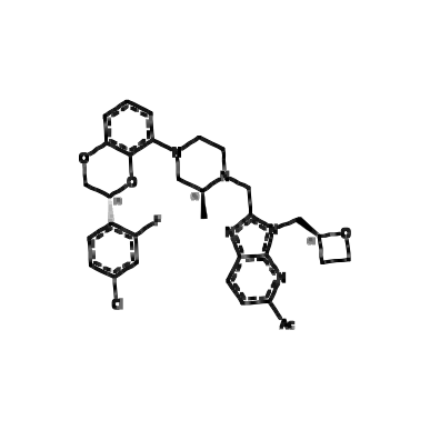 CC(=O)c1ccc2nc(CN3CCN(c4cccc5c4O[C@H](c4ccc(Cl)cc4F)CO5)C[C@@H]3C)n(C[C@@H]3CCO3)c2n1